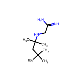 CC(C)(CC(C)(C)C(C)(C)C)NCC(=N)N